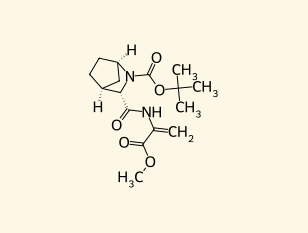 C=C(NC(=O)[C@@H]1[C@H]2CC[C@H](C2)N1C(=O)OC(C)(C)C)C(=O)OC